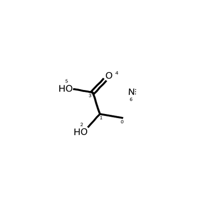 CC(O)C(=O)O.[N]